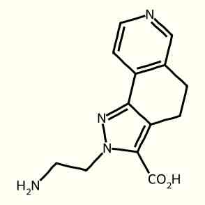 NCCn1nc2c(c1C(=O)O)CCc1cnccc1-2